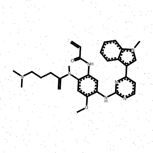 C=CC(=O)Nc1cc(Nc2nccc(-c3cn(C)c4ccccc34)n2)c(OC)cc1N(C)C(=C)CCCN(C)C